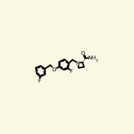 NC(=O)[C@@H]1CCN1Cc1ccc(OCc2cccc(F)c2)cc1F